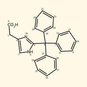 O=C(O)Cc1c[nH]c(C(c2ccccc2)(c2ccccc2)c2ccccc2)n1